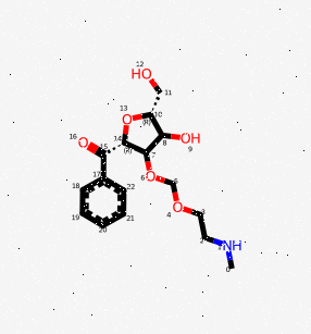 CNCCOCOC1C(O)[C@@H](CO)O[C@H]1C(=O)c1ccccc1